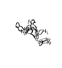 CC(=O)N(NCc1cccc(F)c1Cl)[C@@H](COCCOP(=O)(O)O)COC(=O)Nc1cc2ccccc2cn1